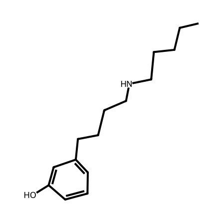 CCCCCNCCCCc1cccc(O)c1